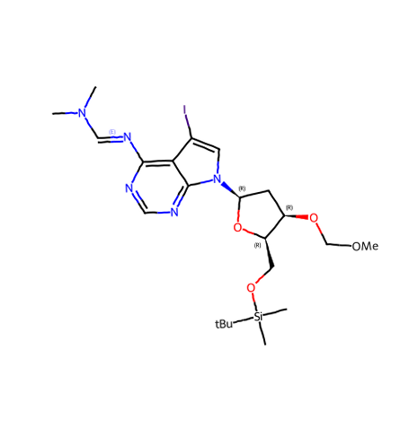 COCO[C@@H]1C[C@H](n2cc(I)c3c(/N=C/N(C)C)ncnc32)O[C@@H]1CO[Si](C)(C)C(C)(C)C